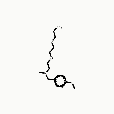 COc1ccc(CN(C)CCOCCOCCN)cc1